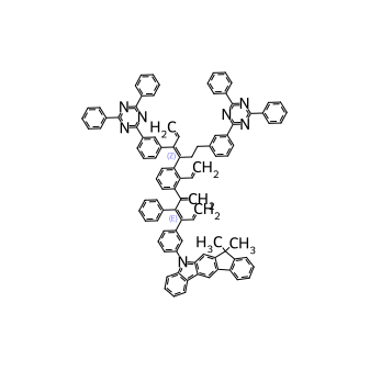 C=C/C(=C(\CCc1cccc(-c2nc(-c3ccccc3)nc(-c3ccccc3)n2)c1)c1cccc(C(=C)/C(=C(\C=C)c2cccc(-n3c4ccccc4c4cc5c(cc43)C(C)(C)c3ccccc3-5)c2)c2ccccc2)c1C=C)c1cccc(-c2nc(-c3ccccc3)nc(-c3ccccc3)n2)c1